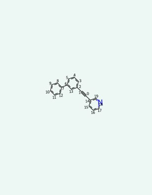 C(#Cc1cccc(-c2ccccc2)c1)c1cccnc1